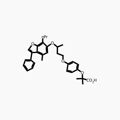 CCCc1c(OC(C)CCOc2ccc(OC(C)(C)C(=O)O)cc2)cc(C)c2c(-c3ccccc3)coc12